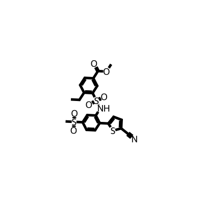 CCc1ccc(C(=O)OC)cc1S(=O)(=O)Nc1cc(S(C)(=O)=O)ccc1-c1ccc(C#N)s1